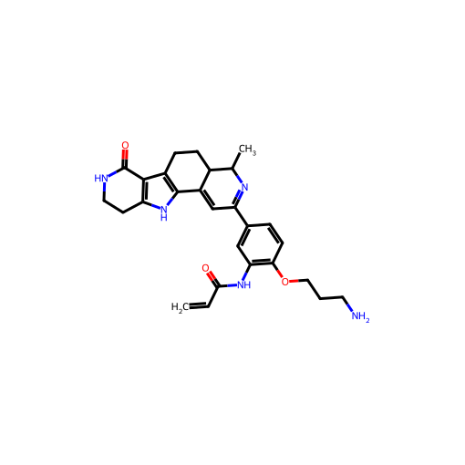 C=CC(=O)Nc1cc(C2=NC(C)C3CCc4c([nH]c5c4C(=O)NCC5)C3=C2)ccc1OCCCN